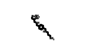 CCC(C)CC(CNCc1ccc(CNCCCN)cc1)NN